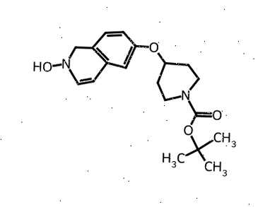 CC(C)(C)OC(=O)N1CCC(Oc2ccc3c(c2)C=CN(O)C3)CC1